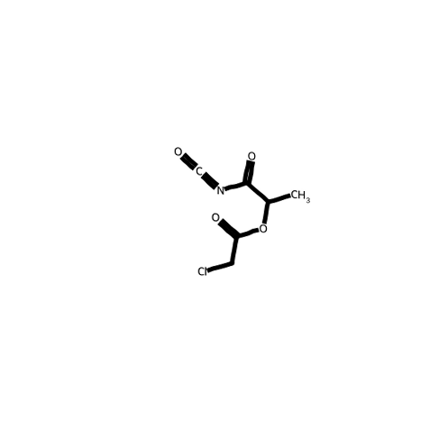 CC(OC(=O)CCl)C(=O)N=C=O